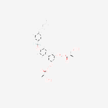 C=C(CO)C(=O)OCOc1cc(OCOC(=O)C(=C)CO)cc(-c2ccc(OC(F)(F)c3ccc(CCCCC)cc3)cc2)c1